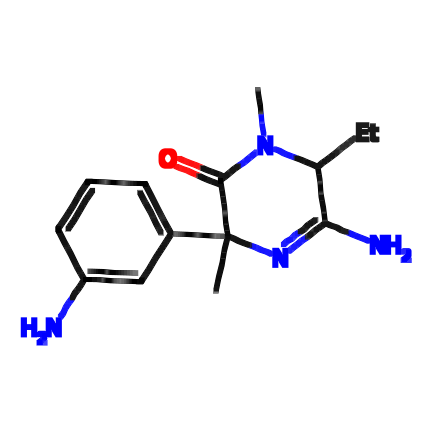 CCC1C(N)=NC(C)(c2cccc(N)c2)C(=O)N1C